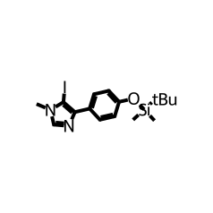 Cn1cnc(-c2ccc(O[Si](C)(C)C(C)(C)C)cc2)c1I